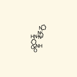 O=c1[nH]c2cc(Nc3nccc(-c4ccccn4)n3)ccc2o1